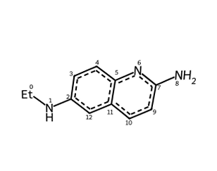 CCNc1ccc2nc(N)ccc2c1